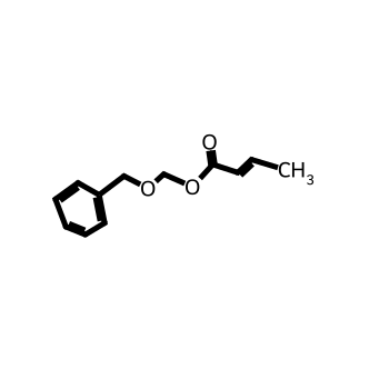 CC=CC(=O)OCOCc1ccccc1